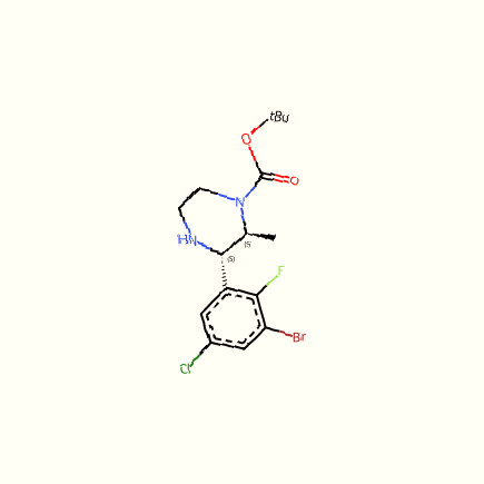 C[C@H]1[C@H](c2cc(Cl)cc(Br)c2F)NCCN1C(=O)OC(C)(C)C